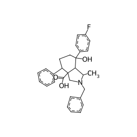 CC1C2C(O)(c3ccc(F)cc3)CCC(c3ccccc3)C2(C(=O)O)CN1Cc1ccccc1